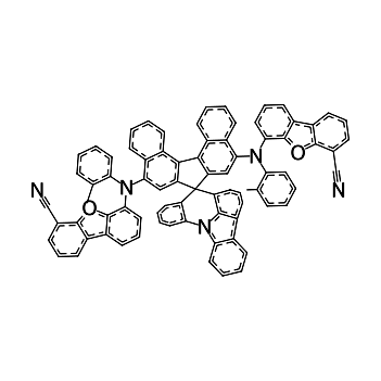 Cc1ccccc1N(c1cc2c(c3ccccc13)-c1c(cc(N(c3ccccc3C)c3cccc4c3oc3c(C#N)cccc34)c3ccccc13)C21c2ccccc2-n2c3ccccc3c3cccc1c32)c1cccc2c1oc1c(C#N)cccc12